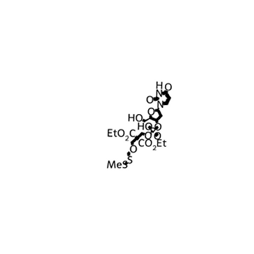 CCOC(=O)C(COCSSC)(COP(=O)(O)OC1C[C@H](n2ccc(=O)[nH]c2=O)O[C@@H]1CO)C(=O)OCC